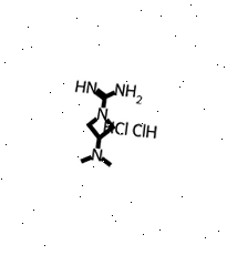 CN(C)C1CN(C(=N)N)C1.Cl.Cl